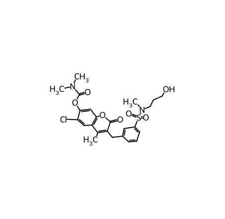 Cc1c(Cc2cccc(S(=O)(=O)N(C)CCCO)c2)c(=O)oc2cc(OC(=O)N(C)C)c(Cl)cc12